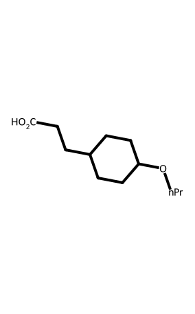 CCCOC1CCC(CCC(=O)O)CC1